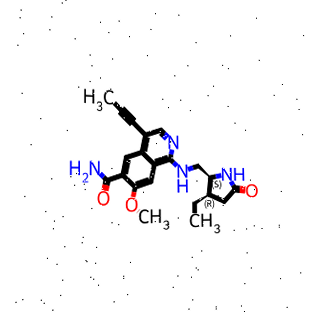 CC#Cc1cnc(NC[C@H]2NC(=O)C[C@H]2CC)c2cc(OC)c(C(N)=O)cc12